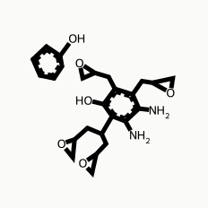 Nc1c(N)c(C(CC2CO2)CC2CO2)c(O)c(CC2CO2)c1CC1CO1.Oc1ccccc1